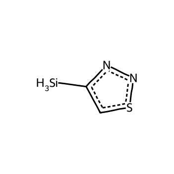 [SiH3]c1csnn1